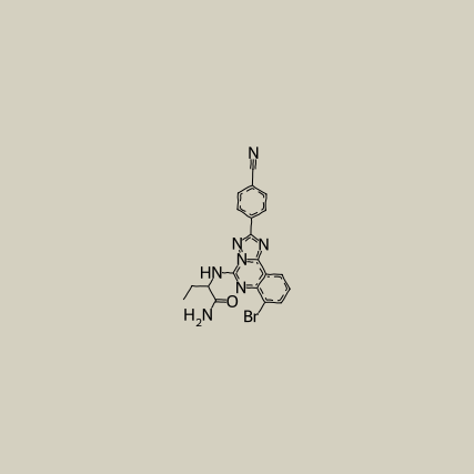 CCC(Nc1nc2c(Br)cccc2c2nc(-c3ccc(C#N)cc3)nn12)C(N)=O